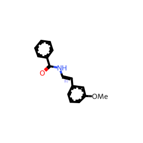 COc1cccc(/C=C/NC(=O)c2ccccc2)c1